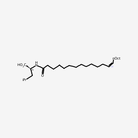 CCCCCCCC/C=C\CCCCCCCCCCCC(=O)N[C@@H](CC(C)C)C(=O)O